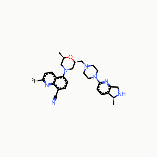 [2H]c1ccc2c(N3C[C@H](CN4CCN(c5ccc6c(n5)CN[C@H]6C)CC4)O[C@H](C)C3)ccc(C#N)c2n1